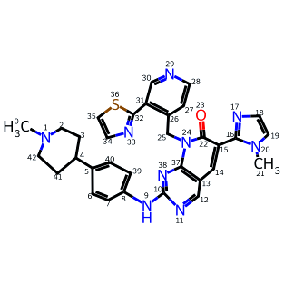 CN1CCC(c2ccc(Nc3ncc4cc(-c5nccn5C)c(=O)n(Cc5ccncc5-c5nccs5)c4n3)cc2)CC1